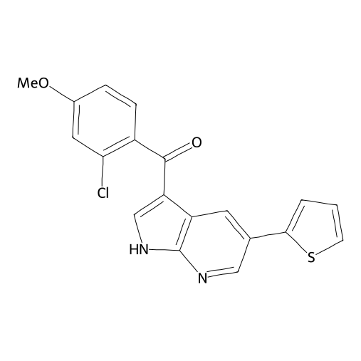 COc1ccc(C(=O)c2c[nH]c3ncc(-c4cccs4)cc23)c(Cl)c1